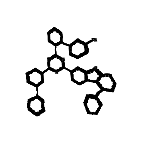 N#Cc1cccc(-c2ccccc2-c2nc(-c3cccc(-c4ccccc4)c3)nc(-c3ccc4c(c3)oc3cccc(-c5ccccc5)c34)n2)c1